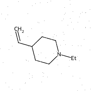 C=CC1CCN(CC)CC1